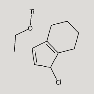 CC[O][Ti].ClC1C=CC2=C1CCCC2